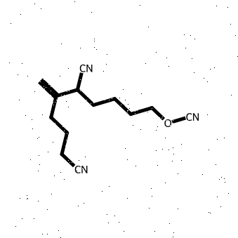 C=C(CCCC#N)C(C#N)CCCCOC#N